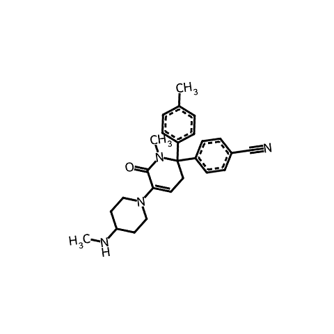 CNC1CCN(C2=CCC(c3ccc(C)cc3)(c3ccc(C#N)cc3)N(C)C2=O)CC1